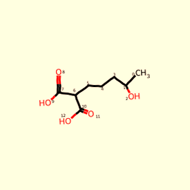 CC(O)CCCC(C(=O)O)C(=O)O